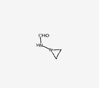 O=[C]NN1CC1